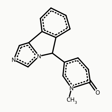 Cn1cc(C2c3ccccc3-c3cncn32)ccc1=O